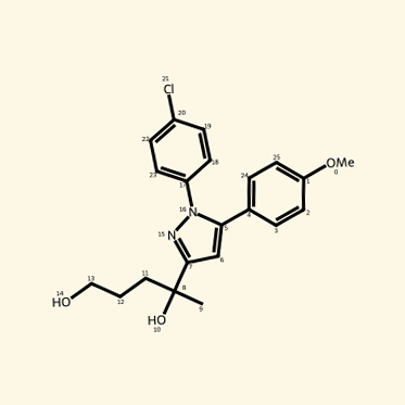 COc1ccc(-c2cc(C(C)(O)CCCO)nn2-c2ccc(Cl)cc2)cc1